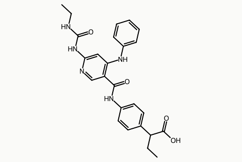 CCNC(=O)Nc1cc(Nc2ccccc2)c(C(=O)Nc2ccc(C(CC)C(=O)O)cc2)cn1